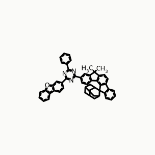 CC1(C)c2cc(-c3nc(-c4ccccc4)nc(-c4ccc5c(c4)oc4ccccc45)n3)ccc2-c2c1ccc1c2C2(c3ccccc3-1)C1CC3CC(C1)CC2C3